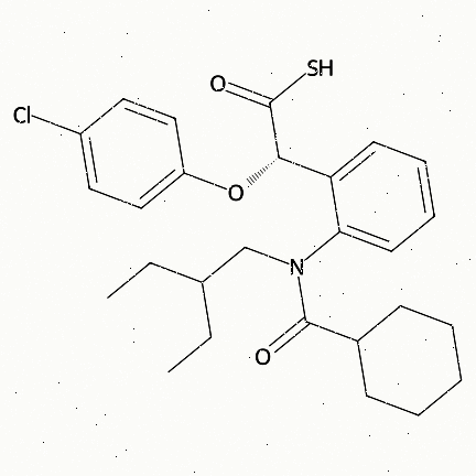 CCC(CC)CN(C(=O)C1CCCCC1)c1ccccc1[C@H](Oc1ccc(Cl)cc1)C(=O)S